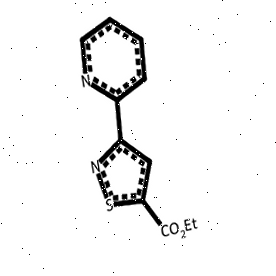 CCOC(=O)c1cc(-c2ccccn2)ns1